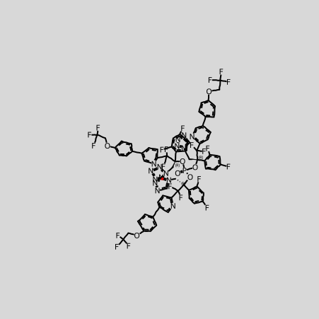 O=P(O[C@@](Cn1cnnn1)(c1ccc(F)cc1F)C(F)(F)c1ccc(-c2ccc(OCC(F)(F)F)cc2)cn1)(O[C@@](Cn1cnnn1)(c1ccc(F)cc1F)C(F)(F)c1ccc(-c2ccc(OCC(F)(F)F)cc2)cn1)O[C@@](Cn1cnnn1)(c1ccc(F)cc1F)C(F)(F)c1ccc(-c2ccc(OCC(F)(F)F)cc2)cn1